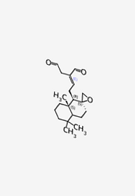 CC1(C)CCC[C@@]2(C)C1CC[C@@]1(CO1)[C@@H]2C/C=C(/C=O)CC=O